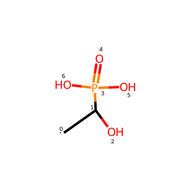 [CH2]C(O)P(=O)(O)O